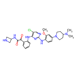 COc1cc(N2CCC(N(C)C)CC2)ccc1Nc1ncc(Cl)c(Nc2ccccc2C(=O)C(=O)NC2CNC2)n1